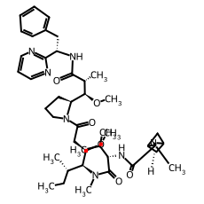 CC[C@H](C)[C@@H]([C@@H](CC(=O)N1CCC[C@H]1[C@H](OC)[C@@H](C)C(=O)N[C@@H](Cc1ccccc1)c1ncccn1)OC)N(C)C(=O)[C@@H](NC(=O)[C@@H]1C2CC(C2)N1C)C(C)C